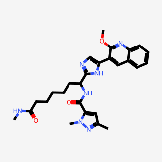 CNC(=O)CCCCCC(NC(=O)c1cc(C)nn1C)c1ncc(-c2cc3ccccc3nc2OC)[nH]1